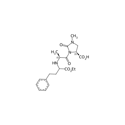 CCOC(=O)C(CCc1ccccc1)N[C@@H](C)C(=O)N1C(=O)N(C)C[C@H]1C(=O)O